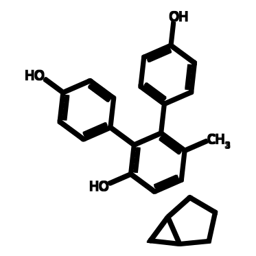 C1CC2CC2C1.Cc1ccc(O)c(-c2ccc(O)cc2)c1-c1ccc(O)cc1